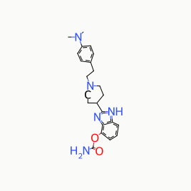 CN(C)c1ccc(CCN2CCC(c3nc4c(OC(N)=O)cccc4[nH]3)CC2)cc1